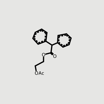 CC(=O)OCCOC(=O)C(c1ccccc1)c1ccccc1